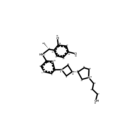 C[C@@H](Nc1cncc(N2CC([C@@H]3CCN(CCCO)C3)C2)n1)c1ccc(Cl)cc1Cl